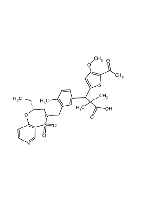 CC[C@@H]1CN(Cc2cc(C(c3cc(OC)c(C(C)=O)s3)C(C)(C)C(=O)O)ccc2C)S(=O)(=O)c2cnccc2O1